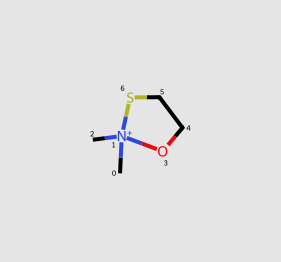 C[N+]1(C)OCCS1